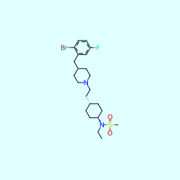 CCN([C@H]1CC[C@H](CCN2CCC(Cc3cc(F)ccc3Br)CC2)CC1)S(C)(=O)=O